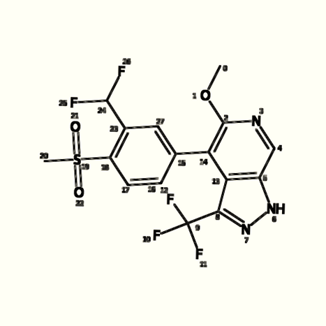 COc1ncc2[nH]nc(C(F)(F)F)c2c1-c1ccc(S(C)(=O)=O)c(C(F)F)c1